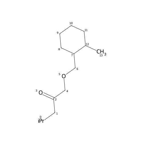 CC(C)CC(=O)COCC1CCCCC1C